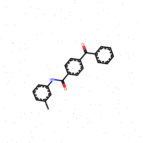 Cc1cccc(NC(=O)c2ccc(C(=O)c3ccccc3)cc2)c1